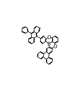 c1ccc(-c2c3ccccc3c(-c3ccc4c(c3)Oc3cccc5c3B4c3cc4c6ccccc6c6ccccc6c4cc3O5)c3ccccc23)cc1